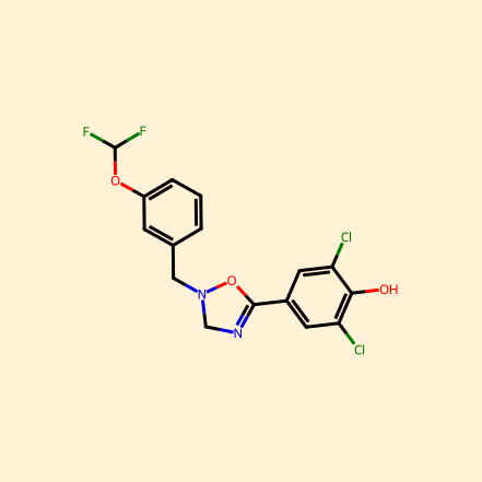 Oc1c(Cl)cc(C2=NCN(Cc3cccc(OC(F)F)c3)O2)cc1Cl